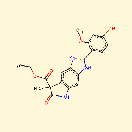 CCOC(=O)C1(C)C(=O)Nc2cc3c(cc21)NC(c1ccc(O)cc1OC)N3